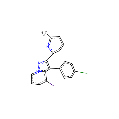 Cc1cccc(-c2nn3cccc(I)c3c2-c2ccc(F)cc2)n1